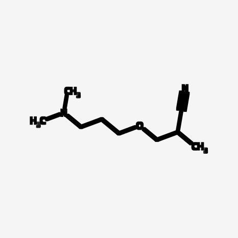 CC(C#N)COCCCN(C)C